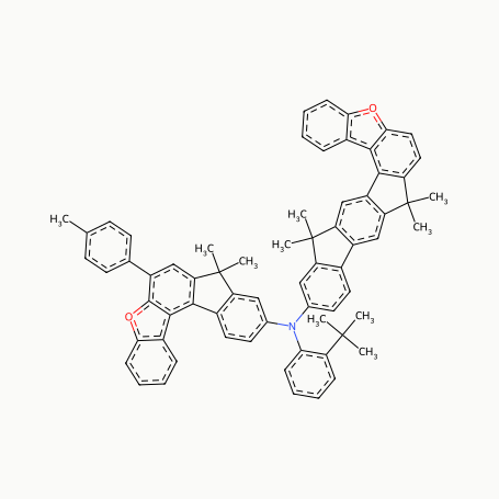 Cc1ccc(-c2cc3c(c4c2oc2ccccc24)-c2ccc(N(c4ccc5c(c4)C(C)(C)c4cc6c(cc4-5)C(C)(C)c4ccc5oc7ccccc7c5c4-6)c4ccccc4C(C)(C)C)cc2C3(C)C)cc1